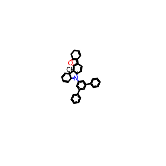 CC12C=CC=CC1N(c1cc(-c3ccccc3)cc(-c3ccccc3)c1)C1C=Cc3c(oc4c3C=CCC4)C12